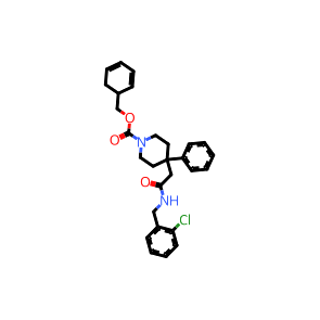 O=C(CC1(c2ccccc2)CCN(C(=O)OCC2C=CC=CC2)CC1)NCc1ccccc1Cl